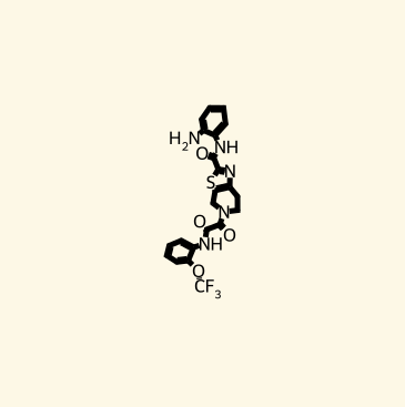 Nc1ccccc1NC(=O)c1nc2c(s1)CN(C(=O)C(=O)Nc1ccccc1OC(F)(F)F)CC2